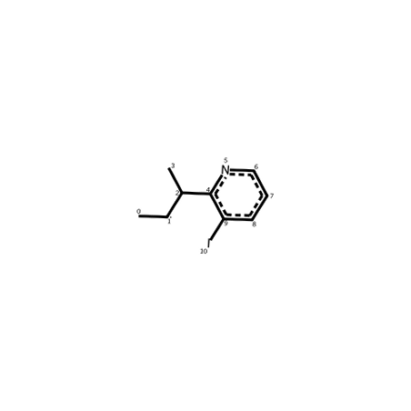 C[CH]C(C)c1ncccc1I